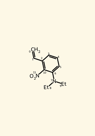 C=Cc1cccc(N(CC)CC)c1[N+](=O)[O-]